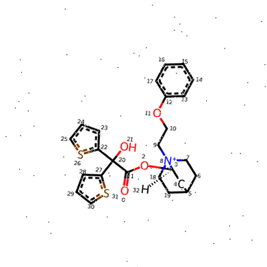 O=C(O[C@@H]1CC2CC[N+]1(CCOc1ccccc1)CC2)C(O)(c1cccs1)c1cccs1